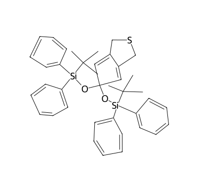 CC(C)(C)[Si](OC1(O[Si](c2ccccc2)(c2ccccc2)C(C)(C)C)C=C2CSCC2=C1)(c1ccccc1)c1ccccc1